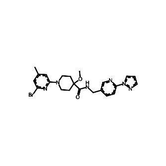 COC1(C(=O)NCc2ccc(-n3cccn3)nc2)CCN(c2cc(C)cc(Br)n2)CC1